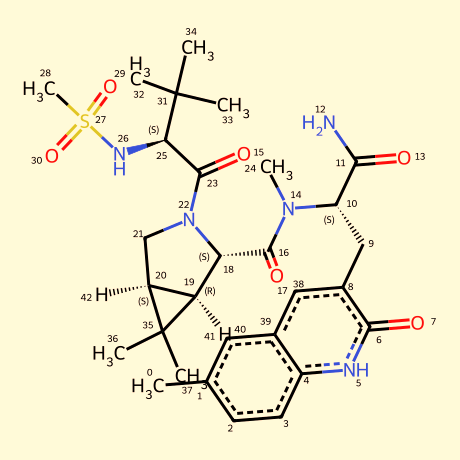 Cc1ccc2[nH]c(=O)c(C[C@@H](C(N)=O)N(C)C(=O)[C@@H]3[C@@H]4[C@H](CN3C(=O)[C@@H](NS(C)(=O)=O)C(C)(C)C)C4(C)C)cc2c1